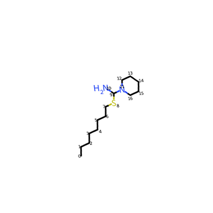 CCCCCCCCSC(N)N1CCCCC1